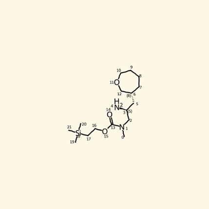 CN(C[C@@H](N)C[C@H]1CCCCOC1)C(=O)OCC[Si](C)(C)C